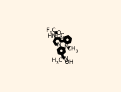 CC(=NO)c1ccc2c(c1)N(C)c1cccc(C)c1[C@H]1C[C@@H](NC(=O)C(F)(F)F)CCN21